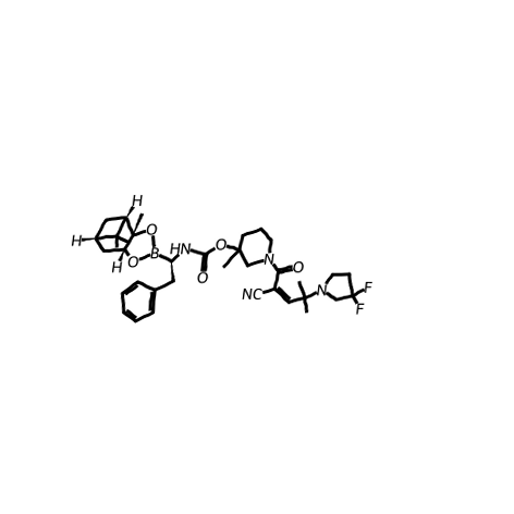 CC1(OC(=O)N[C@@H](Cc2ccccc2)B2O[C@@H]3C[C@@H]4C[C@@H](C4(C)C)[C@]3(C)O2)CCCN(C(=O)/C(C#N)=C\C(C)(C)N2CCC(F)(F)C2)C1